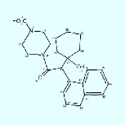 O=C(O)N1CCN(C(=O)C(c2cccc3ccccc23)C2(O)CCCCC2)CC1